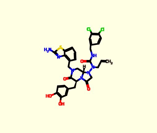 C=CCN(C(=O)NCc1ccc(Cl)c(Cl)c1)N1CC(=O)N2[C@@H](Cc3ccc(O)c(O)c3)C(=O)N(Cc3cccc4sc(N)nc34)C[C@@H]21